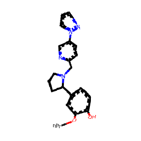 CCCOc1cc(C2CCCN2Cc2ccc(-n3cccn3)cn2)ccc1O